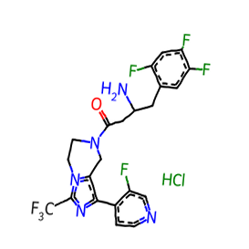 Cl.NC(CC(=O)N1CCn2c(C(F)(F)F)nc(-c3ccncc3F)c2C1)Cc1cc(F)c(F)cc1F